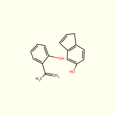 C=C(C)c1ccccc1O.Oc1ccc2c(c1)C=CC2